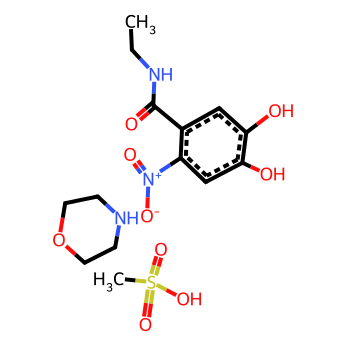 C1COCCN1.CCNC(=O)c1cc(O)c(O)cc1[N+](=O)[O-].CS(=O)(=O)O